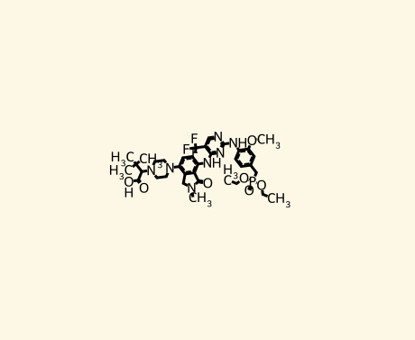 CCOP(=O)(Cc1ccc(Nc2ncc(C(F)(F)F)c(Nc3ccc(N4CCN(C(C(=O)O)C(C)(C)C)CC4)c4c3C(=O)N(C)C4)n2)c(OC)c1)OCC